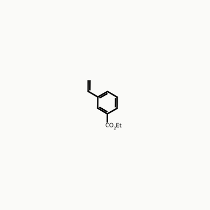 C=Cc1cccc(C(=O)OCC)c1